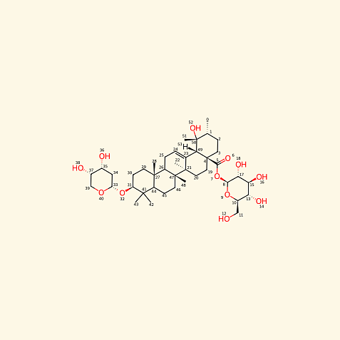 C[C@@H]1CC[C@]2(C(=O)O[C@@H]3O[C@H](CO)[C@@H](O)[C@H](O)[C@H]3O)CC[C@]3(C)C(=CCC4[C@@]5(C)CC[C@H](O[C@H]6C[C@@H](O)[C@@H](O)CO6)C(C)(C)C5CC[C@]43C)[C@@H]2[C@]1(C)O